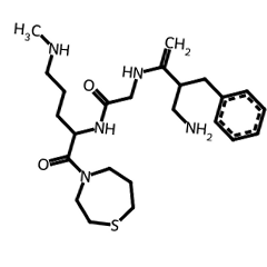 C=C(NCC(=O)NC(CCCNC)C(=O)N1CCCSCC1)C(CN)Cc1ccccc1